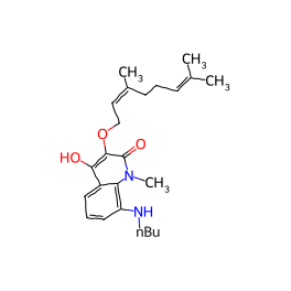 CCCCNc1cccc2c(O)c(OCC=C(C)CCC=C(C)C)c(=O)n(C)c12